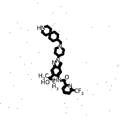 CC(C)(O)c1cc2nn(C3CCN(CC4CCC5(CCNCC5)CC4)CC3)cc2cc1NC(=O)c1cccc(C(F)(F)F)n1